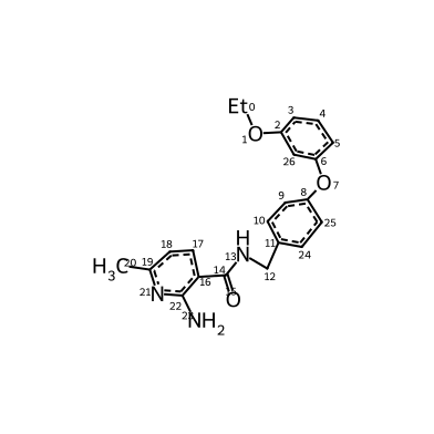 CCOc1cccc(Oc2ccc(CNC(=O)c3ccc(C)nc3N)cc2)c1